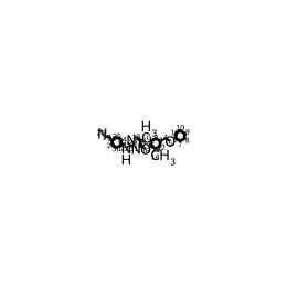 Cc1cc(COc2ccccc2)cc(C)c1Oc1ccnc(Nc2ccc(C#N)cc2)n1